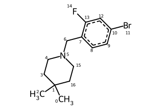 CC1(C)CCN(Cc2ccc(Br)cc2F)CC1